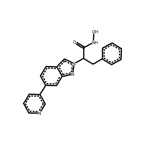 O=C(NO)C(Cc1ccccc1)n1cc2ccc(-c3cccnc3)cc2n1